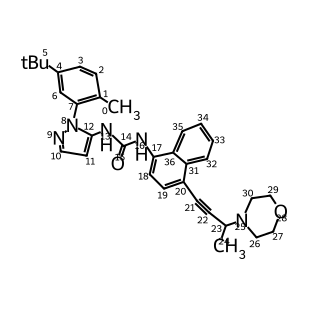 Cc1ccc(C(C)(C)C)cc1-n1nccc1NC(=O)Nc1ccc(C#CC(C)N2CCOCC2)c2ccccc12